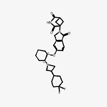 O=C1NC(=O)C2(N3Cc4cc(O[C@@H]5CCCC[C@@H]5N5CC(C6CCC(F)(F)CC6)C5)ccc4C3=O)CC1C2